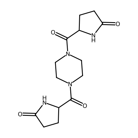 O=C1CCC(C(=O)N2CCN(C(=O)C3CCC(=O)N3)CC2)N1